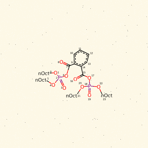 CCCCCCCCOP(=O)(OCCCCCCCC)OC(=O)c1ccccc1C(=O)OP(=O)(OCCCCCCCC)OCCCCCCCC